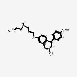 CCN(CCCOc1ccc2c(c1)CN(C)CC2c1ccc(OC)cc1)CCOC